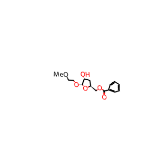 COCCO[C@H]1O[C@H](COC(=O)c2ccccc2)C[C@H]1O